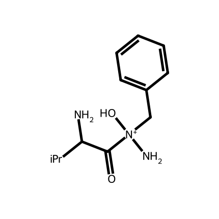 CC(C)C(N)C(=O)[N+](N)(O)Cc1ccccc1